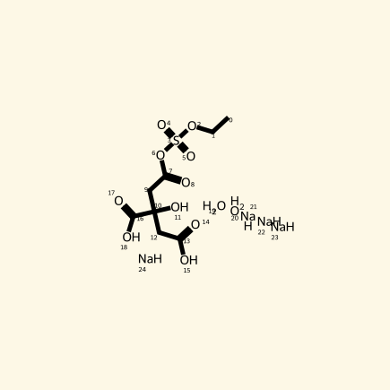 CCOS(=O)(=O)OC(=O)CC(O)(CC(=O)O)C(=O)O.O.O.[NaH].[NaH].[NaH].[NaH]